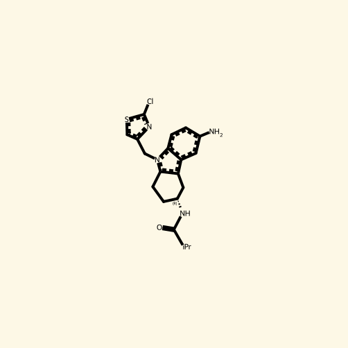 CC(C)C(=O)N[C@@H]1CCc2c(c3cc(N)ccc3n2Cc2csc(Cl)n2)C1